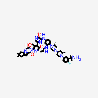 C=CC(=O)Nc1cc(Nc2nc(-c3ccnc(N4CCn5c(cc6c5CC(C)(C)C6)C4=O)c3CO)cnc2OC)ccc1N1CCN(C2CCN(c3ccc(F)c(C(C)(C)N)c3)[C@H](C)C2)C[C@@H]1C